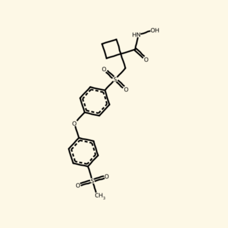 CS(=O)(=O)c1ccc(Oc2ccc(S(=O)(=O)CC3(C(=O)NO)CCC3)cc2)cc1